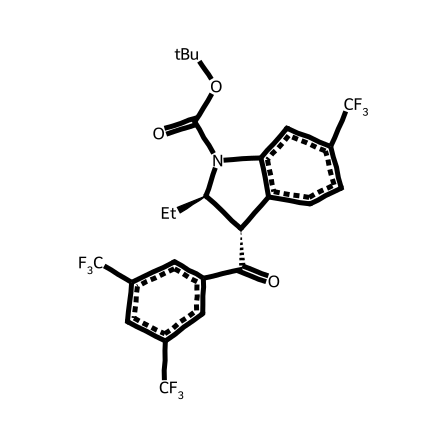 CC[C@@H]1[C@@H](C(=O)c2cc(C(F)(F)F)cc(C(F)(F)F)c2)c2ccc(C(F)(F)F)cc2N1C(=O)OC(C)(C)C